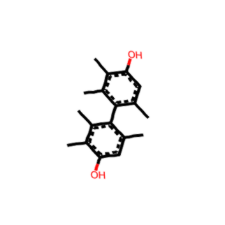 Cc1cc(O)c(C)c(C)c1-c1c(C)cc(O)c(C)c1C